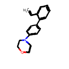 C=Cc1ccccc1-c1ccc(N2CCOCC2)cc1